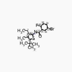 CCn1c(C)c(C(C)(C)C)s/c1=N\C(=O)c1cc(Br)ccc1F